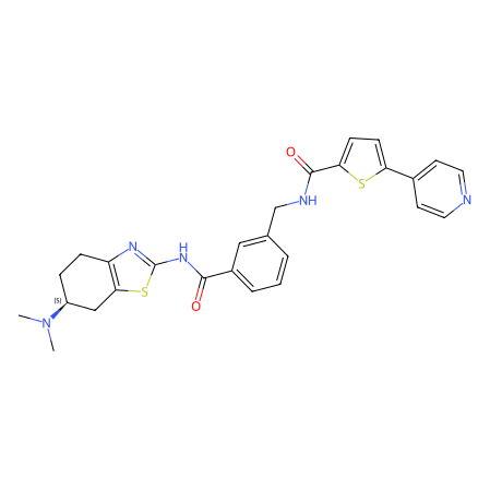 CN(C)[C@H]1CCc2nc(NC(=O)c3cccc(CNC(=O)c4ccc(-c5ccncc5)s4)c3)sc2C1